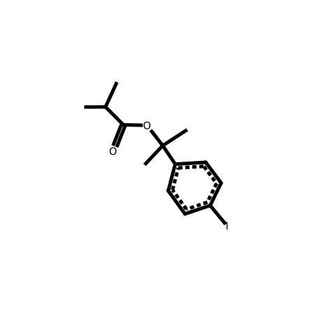 CC(C)C(=O)OC(C)(C)c1ccc(I)cc1